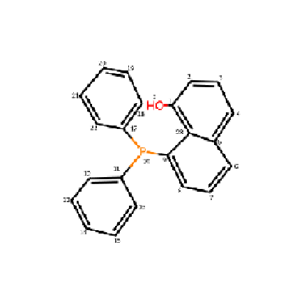 Oc1cccc2cccc(P(c3ccccc3)c3ccccc3)c12